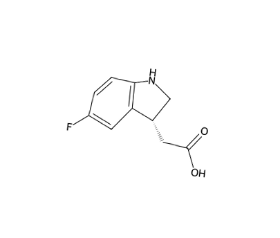 O=C(O)C[C@H]1CNc2ccc(F)cc21